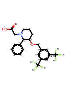 O=C(O)CN1CCCC(OCc2cc(C(F)(F)F)cc(C(F)(F)F)c2)C1c1ccccc1